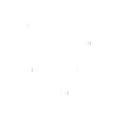 Cc1sc(C)c(CCF)c1C